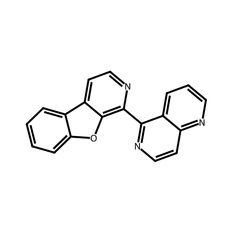 c1ccc2c(c1)oc1c(-c3nccc4ncccc34)nccc12